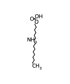 CCCCCCCCCCCCCCCCOC(=O)O.N